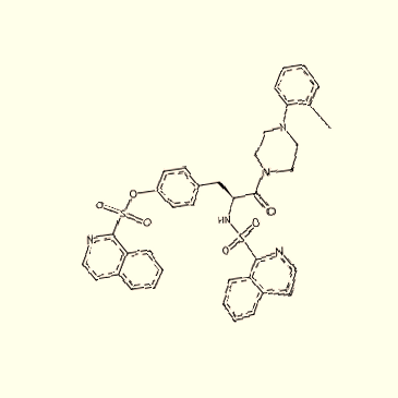 Cc1ccccc1N1CCN(C(=O)[C@H](Cc2ccc(OS(=O)(=O)c3nccc4ccccc34)cc2)NS(=O)(=O)c2nccc3ccccc23)CC1